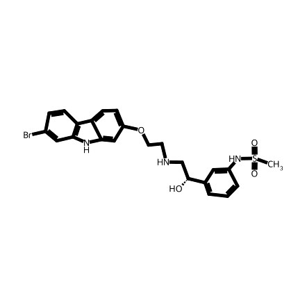 CS(=O)(=O)Nc1cccc([C@H](O)CNCCOc2ccc3c(c2)[nH]c2cc(Br)ccc23)c1